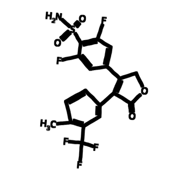 Cc1ccc(C2=C(c3cc(F)c(S(N)(=O)=O)c(F)c3)COC2=O)cc1C(F)(F)F